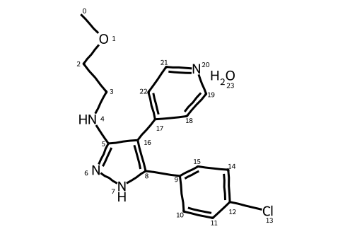 COCCNc1n[nH]c(-c2ccc(Cl)cc2)c1-c1ccncc1.O